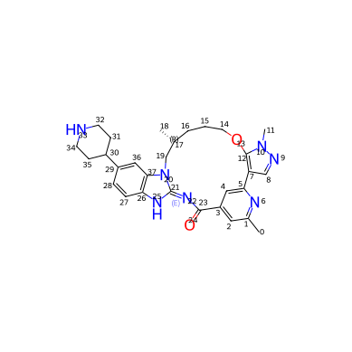 Cc1cc2cc(n1)-c1cnn(C)c1OCCC[C@@H](C)CN1/C(=N/C2=O)Nc2ccc(C3CCNCC3)cc21